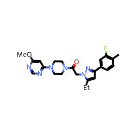 CCc1cc(-c2ccc(C)c(F)c2)nn1CC(=O)N1CCN(c2cc(OC)ncn2)CC1